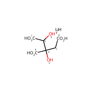 O=C(O)CC(O)(C(=O)O)C(O)C(=O)O.[LiH]